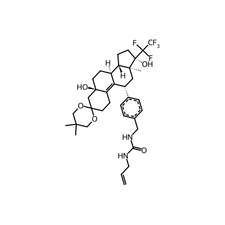 C=CCNC(=O)NCc1ccc([C@H]2C[C@@]3(C)[C@@H](CC[C@@]3(O)C(F)(F)C(F)(F)F)[C@@H]3CC[C@@]4(O)CC5(CCC4=C32)OCC(C)(C)CO5)cc1